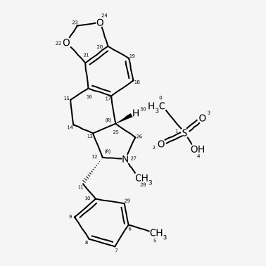 CS(=O)(=O)O.Cc1cccc(C[C@@H]2C3CCc4c(ccc5c4OCO5)[C@@H]3CN2C)c1